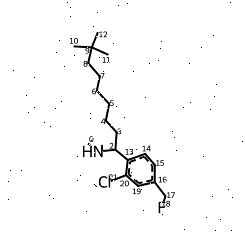 CNC(CCCCCCC(C)(C)C)c1ccc(CF)cc1Cl